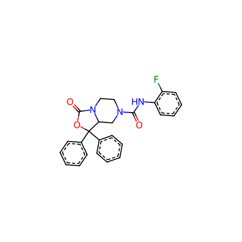 O=C(Nc1ccccc1F)N1CCN2C(=O)OC(c3ccccc3)(c3ccccc3)C2C1